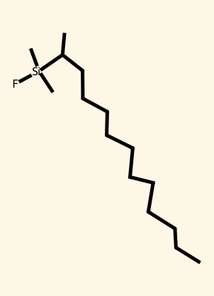 CCCCCCCCCCCC(C)[Si](C)(C)F